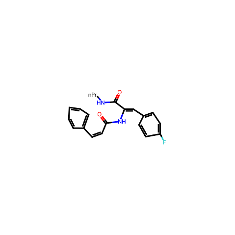 CCCNC(=O)/C(=C/c1ccc(F)cc1)NC(=O)/C=C\c1ccccc1